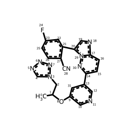 CC(Cn1cnnn1)Oc1cncc(-c2ccc3ncc(-c4cc(F)ccc4C#N)n3n2)c1